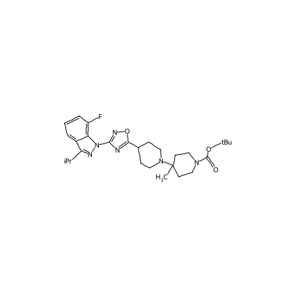 CC(C)c1nn(-c2noc(C3CCN(C4(C)CCN(C(=O)OC(C)(C)C)CC4)CC3)n2)c2c(F)cccc12